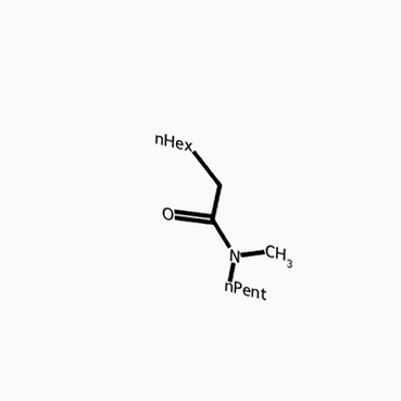 CCCCCCCC(=O)N(C)CCCCC